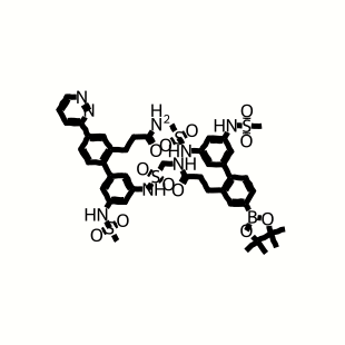 CC1(C)OB(c2ccc(-c3cc(NS(C)(=O)=O)cc(NS(C)(=O)=O)c3)c(CCC(=O)NCS(=O)(=O)Nc3cc(NS(C)(=O)=O)cc(-c4ccc(-c5cccnn5)cc4CCC(N)=O)c3)c2)OC1(C)C